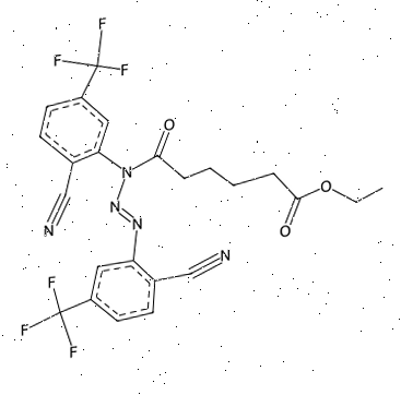 CCOC(=O)CCCCC(=O)N(N=Nc1cc(C(F)(F)F)ccc1C#N)c1cc(C(F)(F)F)ccc1C#N